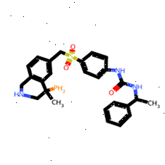 CC(NC(=O)Nc1ccc(S(=O)(=O)Cc2ccc3c(c2)C(C)(P)CNC3)cc1)c1ccccc1